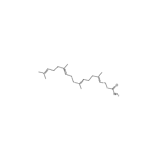 CC(C)=CCCC(C)=CCCC(C)=CCCC(C)=CCCC(N)=O